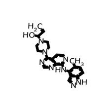 C=CC(O)N1CCN(c2ncnc3c(Nc4c(C)ccc5[nH]ncc45)nccc23)CC1